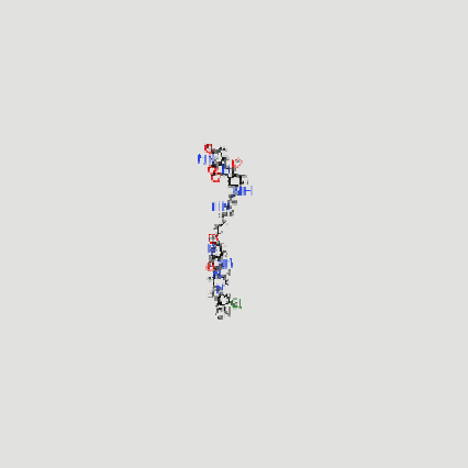 C[C@@H]1CN(c2ccc(C#N)c(Cl)c2)[C@@H](C)CN1C(=O)Nc1ccc(OCCCCCNCCNc2ccc3c(c2)C(=O)N(C2CCC(=O)NC2=O)C3=O)nc1